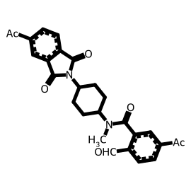 CC(=O)c1ccc(C=O)c(C(=O)N(C)C2CCC(N3C(=O)c4ccc(C(C)=O)cc4C3=O)CC2)c1